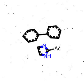 CC(=O)c1ncc[nH]1.c1ccc(-c2ccccc2)cc1